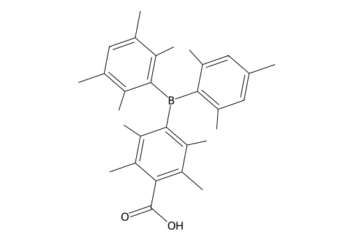 Cc1cc(C)c(B(c2c(C)c(C)cc(C)c2C)c2c(C)c(C)c(C(=O)O)c(C)c2C)c(C)c1